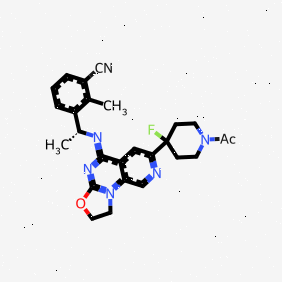 CC(=O)N1CCC(F)(c2cc3/c(=N/[C@H](C)c4cccc(C#N)c4C)nc4n(c3cn2)CCO4)CC1